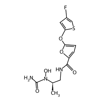 C[C@H](CNC(=O)c1ccc(Oc2cc(F)cs2)o1)N(O)C(N)=O